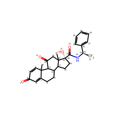 CC12C=CC(=O)C=C1CCC1C2C(=O)CC2(C)C1CC[C@]2(O)C(=O)N[C@@H](c1ccccc1)C(F)(F)F